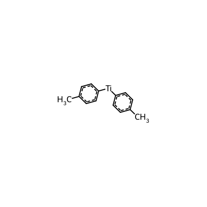 Cc1cc[c]([Ti][c]2ccc(C)cc2)cc1